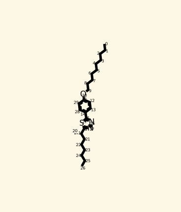 CCCCCCCCCCOc1ccc(-c2nnc([C@@H](C)CCCCCC)s2)cc1